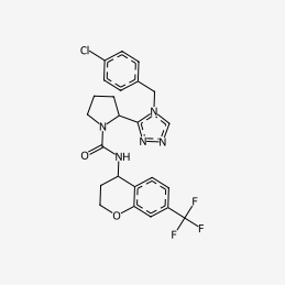 O=C(NC1CCOc2cc(C(F)(F)F)ccc21)N1CCCC1c1nncn1Cc1ccc(Cl)cc1